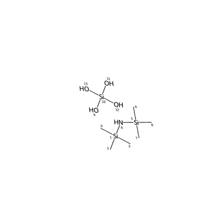 C[Si](C)(C)N[Si](C)(C)C.O[Si](O)(O)O